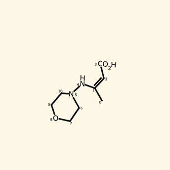 C/C(=C/C(=O)O)NN1CCOCC1